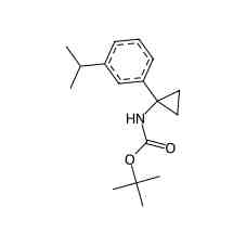 CC(C)c1cccc(C2(NC(=O)OC(C)(C)C)CC2)c1